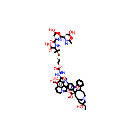 CCC1(O)CC2CN(CCC3c4ccccc4NC3[C@@](C(=O)OC)(c3cc4c(cc3OC)N(C)[C@@H]3C45CCN4CC=C[C@](CC)([C@H]45)[C@@H](O)[C@]3(O)C(=O)NNC(=O)OCCSSC(C)(C)[C@H](NC(=O)[C@H](CC(=O)O)NC(=O)[C@H](CC(=O)O)NC(C)=O)C(=O)O)C2)C1